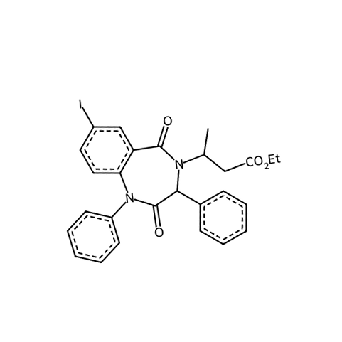 CCOC(=O)CC(C)N1C(=O)c2cc(I)ccc2N(c2ccccc2)C(=O)C1c1ccccc1